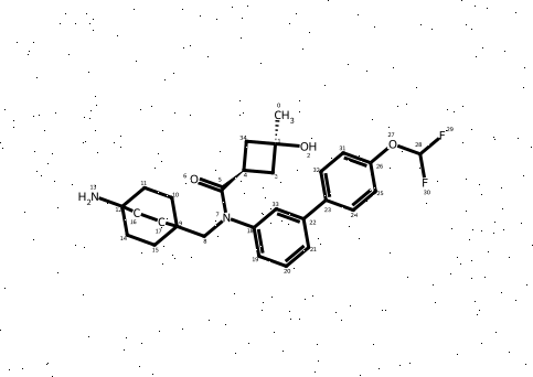 C[C@]1(O)C[C@@H](C(=O)N(CC23CCC(N)(CC2)CC3)c2cccc(-c3ccc(OC(F)F)cc3)c2)C1